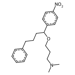 CN(C)CCCOC(CCCc1ccccc1)c1ccc([N+](=O)[O-])cc1